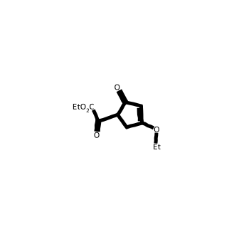 CCOC(=O)C(=O)C1CC(OCC)=CC1=O